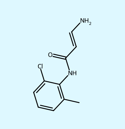 Cc1cccc(Cl)c1NC(=O)/C=C/N